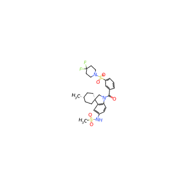 CS(=O)(=O)Nc1ccc2c(c1)[C@]1(CC[C@@H](C)CC1)CN2C(=O)c1cccc(S(=O)(=O)N2CCC(F)(F)CC2)c1